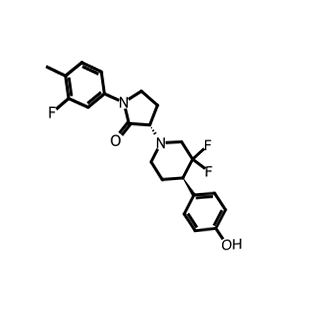 Cc1ccc(N2CC[C@H](N3CC[C@H](c4ccc(O)cc4)C(F)(F)C3)C2=O)cc1F